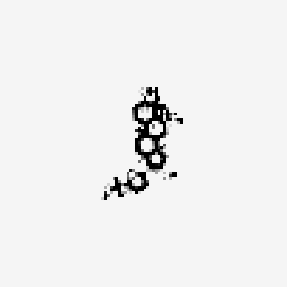 CO[C@H]1CC2C3(CC[C@]4(C)[C@@H](C5CC[C@@H](C(C)(C)OC)O5)[C@@H](OC)C[C@@]24C)C[C@@]32CC[C@H](O)C(C)(C)[C@H]12